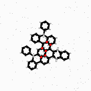 c1ccc(N(c2ccccc2)c2ccccc2-c2ccc(-c3nc4ccccc4nc3-c3ccc(-c4ccccc4N(c4ccccc4)c4ccccc4)cc3)cc2)cc1